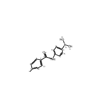 Cc1ccc(C(=O)Nc2ccc(B(O)O)cc2)cc1